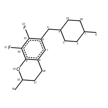 CC1CCC(Cc2cc3c(c(F)c2F)OC(C)CC3)CC1